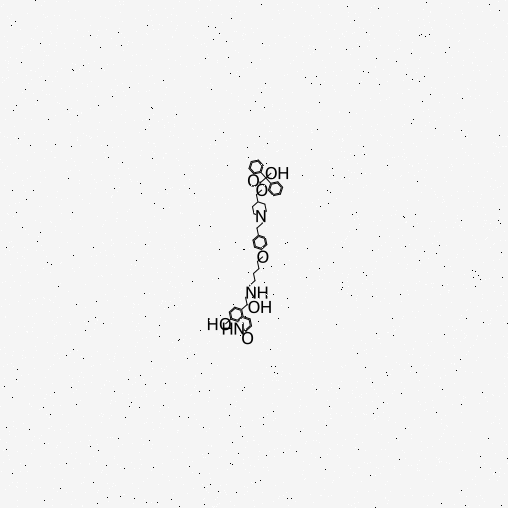 O=C(OCC1CCN(CCc2ccc(OCCCCCNC[C@H](O)c3ccc(O)c4[nH]c(=O)ccc34)cc2)CC1)C(O)(c1ccccc1)c1ccccc1